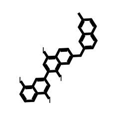 Cc1ccc2ccc(Cc3ccc4c(I)cc(-c5cc(I)c6cccc(I)c6c5)c(I)c4c3)cc2c1